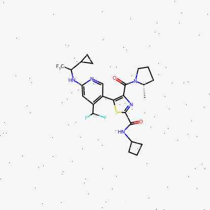 C[C@H]1CCCN1C(=O)c1nc(C(=O)NC2CCC2)sc1-c1cnc(NC(C2CC2)C(F)(F)F)cc1C(F)F